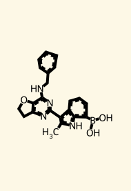 Cc1[nH]c2c(B(O)O)cccc2c1-c1nc2c(c(NCc3ccccc3)n1)OCC2